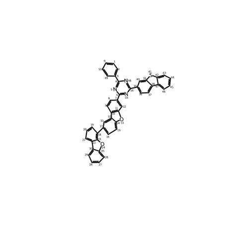 c1ccc(-c2nc(-c3ccc4c(c3)oc3ccc(-c5cccc6c5oc5ccccc56)cc34)nc(-c3ccc4c(c3)sc3ccccc34)n2)cc1